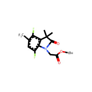 CC(C)(C)OC(=O)CN1C(=O)C(C)(C)c2c(F)c(C(F)(F)F)cc(F)c21